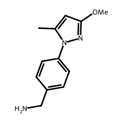 COc1cc(C)n(-c2ccc(CN)cc2)n1